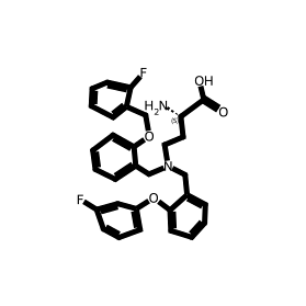 N[C@@H](CCN(Cc1ccccc1OCc1ccccc1F)Cc1ccccc1Oc1cccc(F)c1)C(=O)O